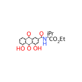 CCOC(=O)C(NC(=O)c1cc(O)c2c(c1)C(=O)c1cccc(O)c1C2=O)C(C)C